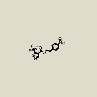 O=C(OCCc1ccc([N+](=O)[O-])cc1)c1cnoc1C(F)(F)F